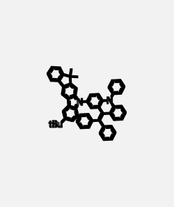 CC(C)(C)c1ccc2c(c1)c1cc3c(cc1n2-c1ccc2c(c1)C(=C(c1ccccc1)c1ccccc1)c1ccccc1N2c1ccccc1)C(C)(C)c1ccccc1-3